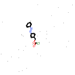 O=C(Cl)OCc1ccc(/N=N/c2ccccc2)cc1